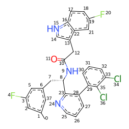 Cc1cc(F)cc(C[C@H](NC(=O)Cc2c[nH]c3ccc(F)cc23)c2ncccc2-c2cccc(Cl)c2Cl)c1